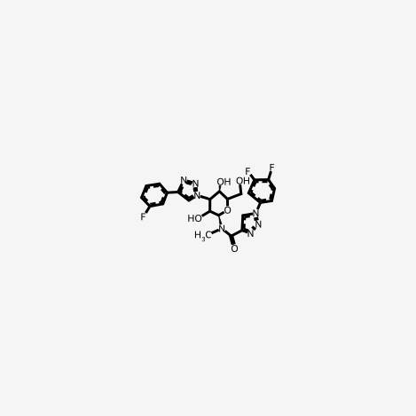 CN(C(=O)c1cn(-c2ccc(F)c(F)c2)nn1)[C@@H]1OC(CO)[C@H](O)C(n2cc(-c3cccc(F)c3)nn2)C1O